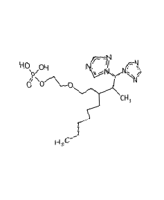 CCCCCCC(CCOCCOP(=O)(O)O)C(C)C(n1cncn1)n1cncn1